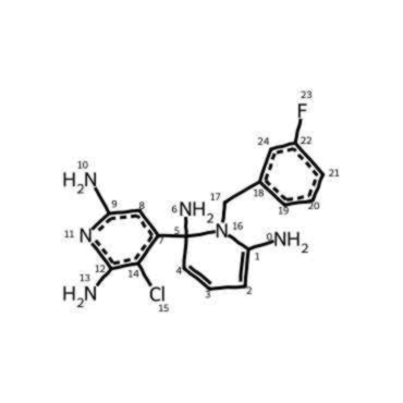 NC1=CC=CC(N)(c2cc(N)nc(N)c2Cl)N1Cc1cccc(F)c1